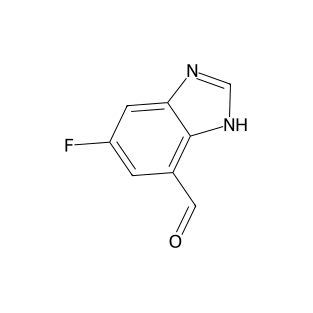 O=Cc1cc(F)cc2nc[nH]c12